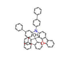 CC1(c2c(N(c3ccc(-c4ccccc4)cc3)c3cc(-c4ccccc4)cc(-c4ccccc4)c3)ccc3c2oc2ccccc23)c2ccccc2-c2ccccc21